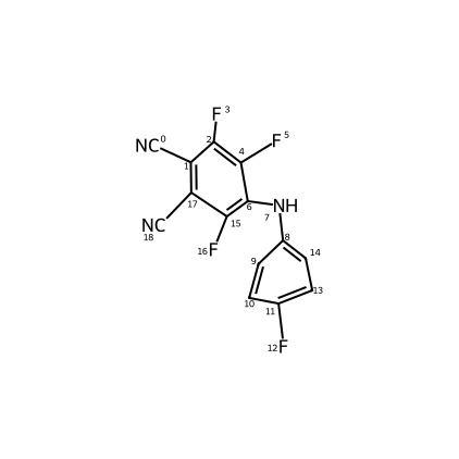 N#Cc1c(F)c(F)c(Nc2ccc(F)cc2)c(F)c1C#N